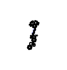 C[N+]1=C(/C=C/C=C/c2cc3c4c(c2)C(C)(C)CCN4CCC3(C)C)C(C)(C)c2cc(C(=O)Oc3ccccc3)ccc21